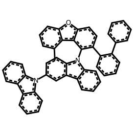 Cc1cccc2oc3ccc(-c4ccccc4-c4ccccc4)c(-n4c5ccccc5c5cc(-n6c7ccccc7c7ccccc76)ccc54)c3c12